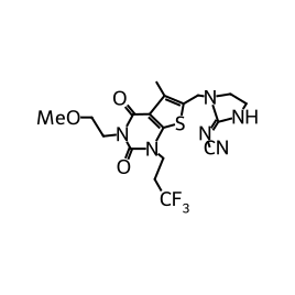 COCCn1c(=O)c2c(C)c(CN3CCN/C3=N\C#N)sc2n(CCC(F)(F)F)c1=O